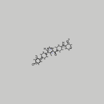 C=C(/C(C)=C(\N=C/N)C(=O)N1CCC(NC2CCOCC2OC)CC1)N1CCN(c2ccc(Cl)cc2C)CC1